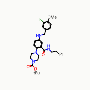 COc1ccc(CNc2ccc(N3CCN(C(=O)OC(C)(C)C)CC3)c(C(=O)NCCC(C)C)c2)cc1F